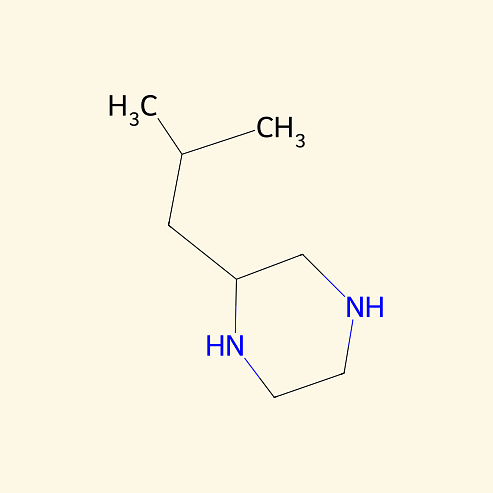 CC(C)CC1CNCCN1